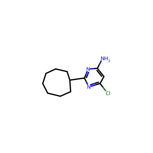 Nc1cc(Cl)nc(C2CCCCCCC2)n1